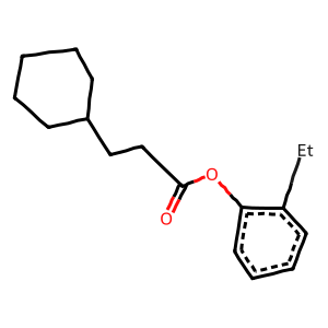 CCc1ccccc1OC(=O)CCC1CCCCC1